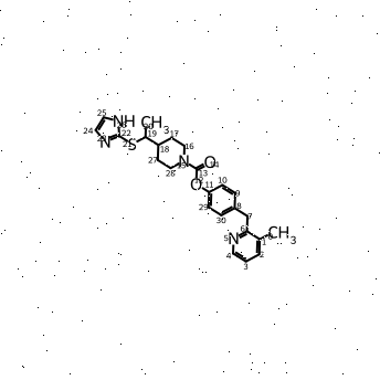 Cc1cccnc1Cc1ccc(OC(=O)N2CCC(C(C)Sc3ncc[nH]3)CC2)cc1